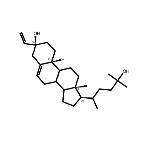 C=C[C@]1(O)CC[C@H]2C(=CCC3C2CC[C@@]2(C)C3CC[C@@H]2C(C)CCC(C)(C)O)C1